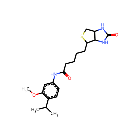 COc1cc(NC(=O)CCCCC2SCC3NC(=O)NC32)ccc1C(C)C